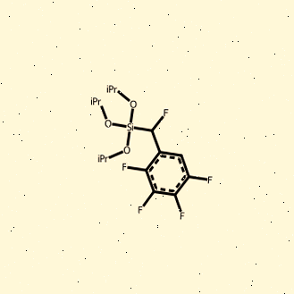 CC(C)O[Si](OC(C)C)(OC(C)C)C(F)c1cc(F)c(F)c(F)c1F